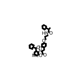 COC(=O)C(Cc1ccc(OCCCNC(=O)C(C)c2ccccc2)cc1)Nc1ccccc1C(=O)c1ccccc1